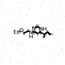 C=CC(C)C1C=C(NCCOCC)N=CN1